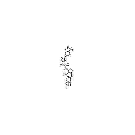 Cc1cc(Cn2c(=O)c3c(ncn3[C@@H](C)C(=O)Nc3csc(-c4cnc(C(C)(F)F)c(C)c4)n3)n(C)c2=O)no1